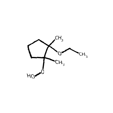 CCOC1(C)CCCC1(C)OO